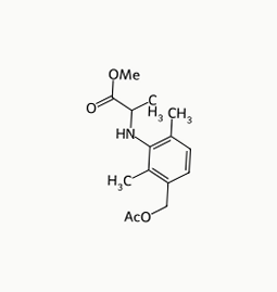 COC(=O)C(C)Nc1c(C)ccc(COC(C)=O)c1C